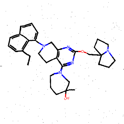 CCc1cccc2cccc(N3CCc4c(nc(OCC56CCCN5CCC6)nc4N4CCCC(C)(O)C4)C3)c12